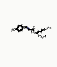 NCCC[C@H](NC(=O)/C=C/c1ccc(O)cc1)C(=O)O